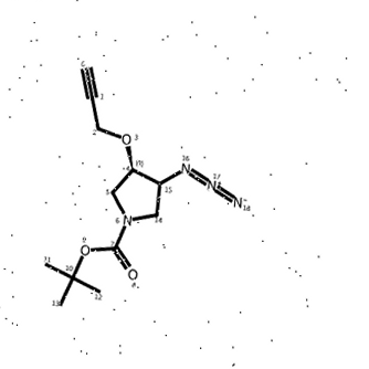 C#CCO[C@@H]1CN(C(=O)OC(C)(C)C)CC1N=[N+]=[N-]